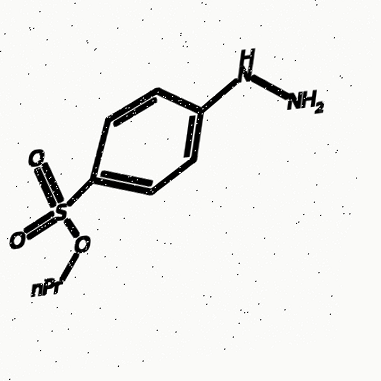 CCCOS(=O)(=O)c1ccc(NN)cc1